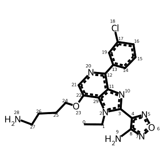 CCn1c(-c2nonc2N)nc2c(-c3cccc(Cl)c3)ncc(OCCCCN)c21